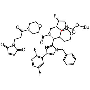 CC(C)(C)OC(=O)N1C[C@@H](CN(C(=O)[C@@H]2CN(C(=O)CCN3C(=O)C=CC3=O)CCO2)[C@@H](c2nc(-c3cc(F)ccc3F)cn2Cc2ccccc2)C2CCOCC2)[C@@H](F)C1